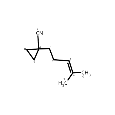 CC(C)=CCCC1(C#N)CC1